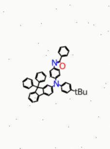 CC(C)(C)c1ccc(N(c2ccc3c(c2)C(c2ccccc2)(c2ccccc2)c2ccccc2-3)c2ccc3nc(-c4ccccc4)oc3c2)cc1